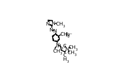 CCN(CCC(C)[N+](C)(C)C)c1ccc(N=Nc2nccn2C)c(C)c1.[Br-]